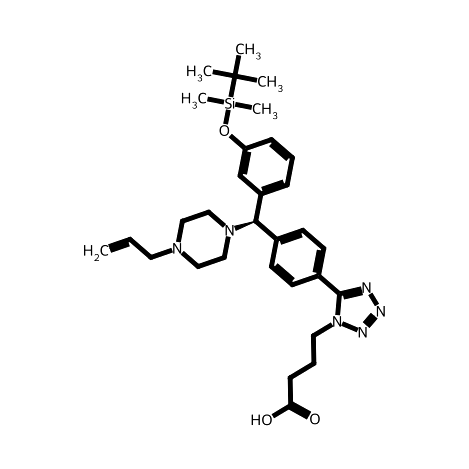 C=CCN1CCN([C@H](c2ccc(-c3nnnn3CCCC(=O)O)cc2)c2cccc(O[Si](C)(C)C(C)(C)C)c2)CC1